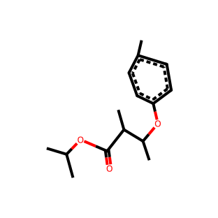 Cc1ccc(OC(C)C(C)C(=O)OC(C)C)cc1